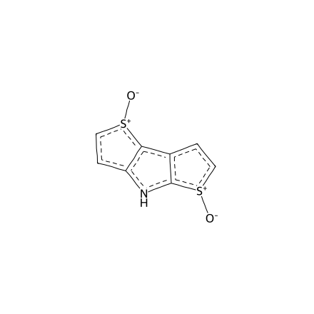 [O-][s+]1ccc2c1[nH]c1cc[s+]([O-])c12